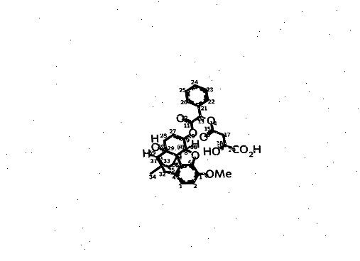 COc1ccc2c3c1O[C@H]1C(OC(=O)[C@@H](OC(=O)C[C@H](O)C(=O)O)c4ccccc4)=CC[C@@]4(O)[C@@H](C2)C(C)CC[C@]314